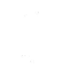 CCC(c1ccc(C(=O)Cl)cc1)c1ccc(C(=O)Cl)cc1